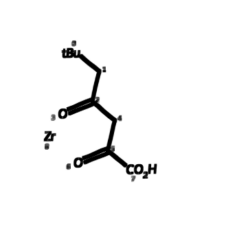 CC(C)(C)CC(=O)CC(=O)C(=O)O.[Zr]